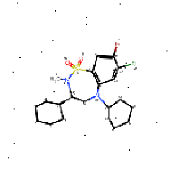 CN1[C@H](C2CCCCC2)CN(C2CCCCC2)c2cc(Cl)c(Br)cc2S1(=O)=O